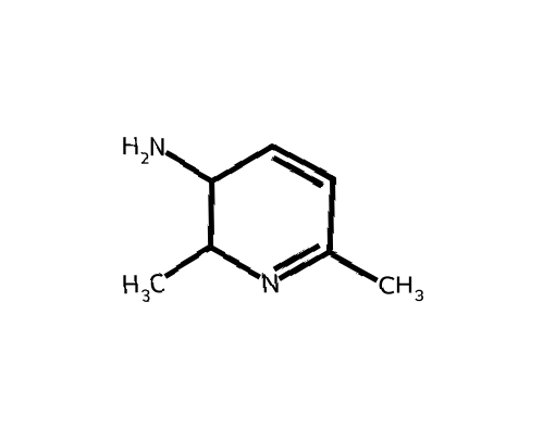 CC1=NC(C)C(N)C=C1